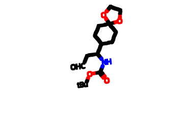 CC(C)(C)OC(=O)NC(CC=O)C1CCC2(CC1)OCCO2